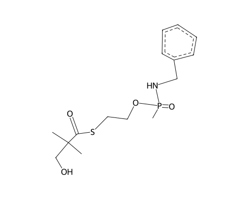 CC(C)(CO)C(=O)SCCOP(C)(=O)NCc1ccccc1